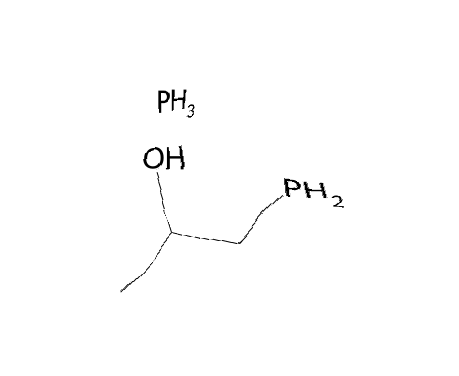 CC(O)CP.P